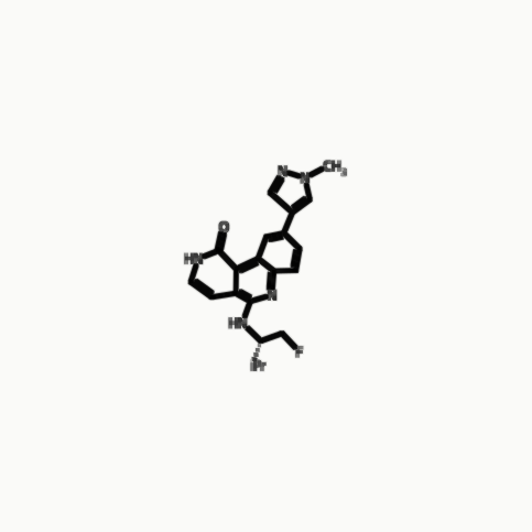 CC(C)[C@@H](CF)Nc1nc2ccc(-c3cnn(C)c3)cc2c2c(=O)[nH]ccc12